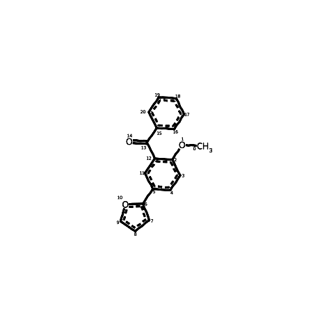 COc1ccc(-c2ccco2)cc1C(=O)c1ccccc1